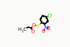 CCC(=O)OSc1ccc(Cl)cc1[N+](=O)[O-]